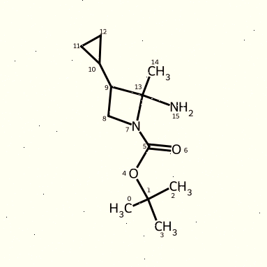 CC(C)(C)OC(=O)N1CC(C2CC2)C1(C)N